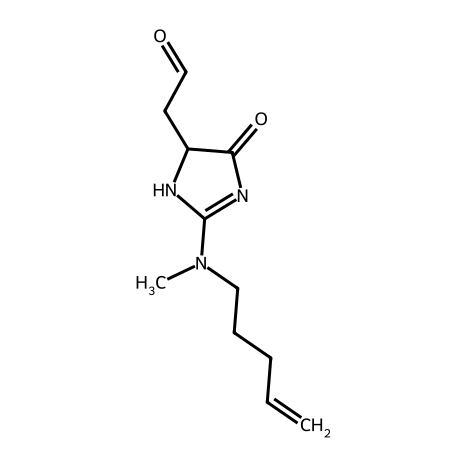 C=CCCCN(C)C1=NC(=O)C(CC=O)N1